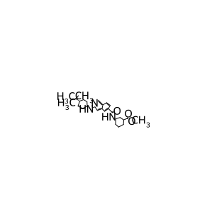 COC(=O)C1CCCC(NC(=O)c2ccc3cnc(N[C@H]4CC[C@H](C(C)(C)C)CC4)cc3c2)C1